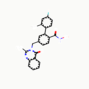 Cc1cc(F)ccc1-c1cc(Cn2c(C)nc3ccccc3c2=O)ccc1C(=O)NO